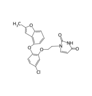 Cc1cc2c(Oc3ccc(Cl)cc3OCCn3ccc(=O)[nH]c3=O)cccc2o1